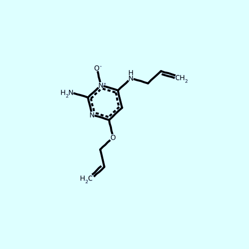 C=CCNc1cc(OCC=C)nc(N)[n+]1[O-]